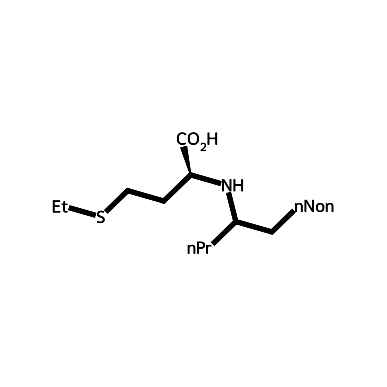 CCCCCCCCCCC(CCC)N[C@@H](CCSCC)C(=O)O